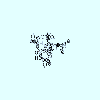 CCC(COCC(O)COC(=O)C1CC(C)CCC1C(=O)OCC1CCC(COC(=O)C2CC(C)CCC2C(=O)OCC(O)COCCCCOCC(O)COC(=O)C2CCC(C)CC2C(=O)OCC2CCC(COC(=O)C3CCC(C)CC3C(=O)OCC(O)COCC(CC)(COCC3CO3)COCC3CO3)CC2)CC1)(COCC1CO1)COCC1CO1